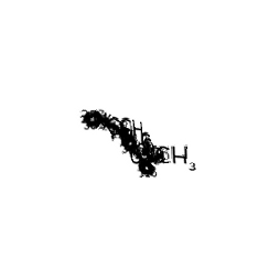 COC=C(C(=O)OC)c1ccccc1COc1ccc(C(C)=NOCCN2CCCCC2)cc1